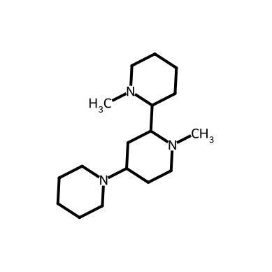 CN1CCCCC1C1CC(N2CCCCC2)CCN1C